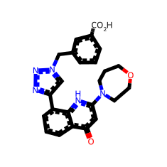 O=C(O)c1cccc(Cn2cc(-c3cccc4c(=O)cc(N5CCCOCC5)[nH]c34)nn2)c1